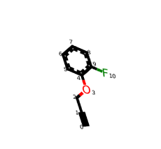 C#CCOc1cc[c]cc1F